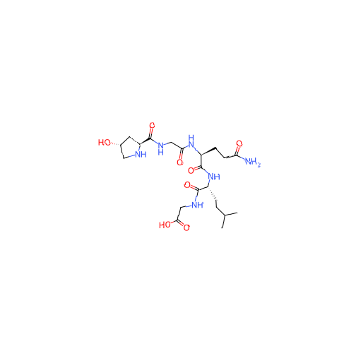 CC(C)CC[C@@H](NC(=O)[C@H](CCC(N)=O)NC(=O)CNC(=O)[C@@H]1C[C@@H](O)CN1)C(=O)NCC(=O)O